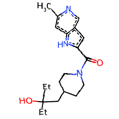 CCC(O)(CC)CC1CCN(C(=O)c2cc3cnc(C)cc3[nH]2)CC1